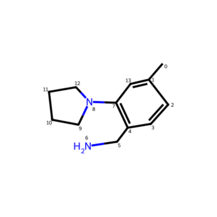 Cc1ccc(CN)c(N2CCCC2)c1